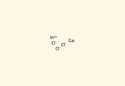 [Cl-].[Cl-].[Cl-].[Ga].[In+3]